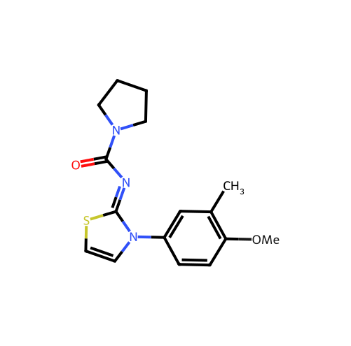 COc1ccc(-n2ccsc2=NC(=O)N2CCCC2)cc1C